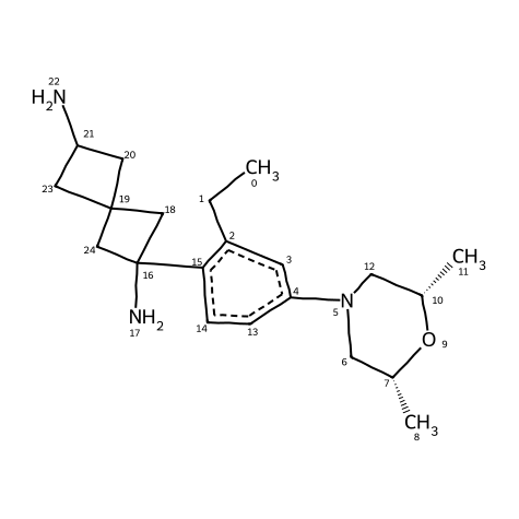 CCc1cc(N2C[C@@H](C)O[C@@H](C)C2)ccc1C1(N)CC2(CC(N)C2)C1